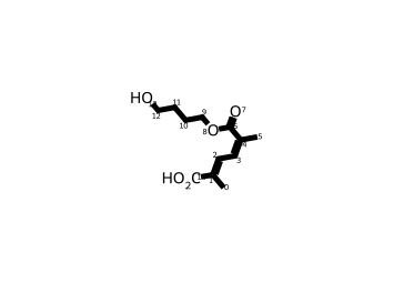 CC(=CC=C(C)C(=O)OCCCCO)C(=O)O